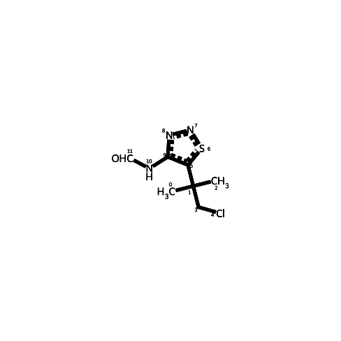 CC(C)(CCl)c1snnc1NC=O